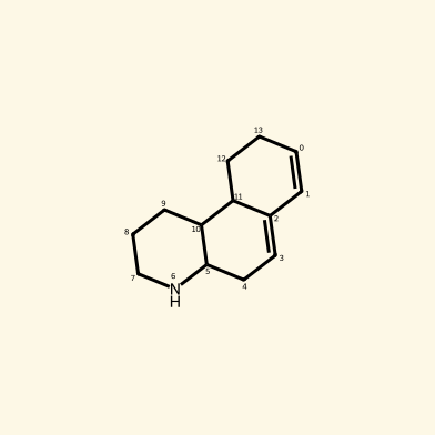 C1=CC2=CCC3NCCCC3C2CC1